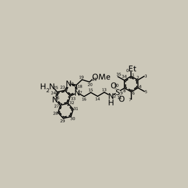 CCc1c(C)c(C)c(C)c(S(=O)(=O)NCCCCn2c(CCOC)nc3c(N)nc4ccccc4c32)c1C